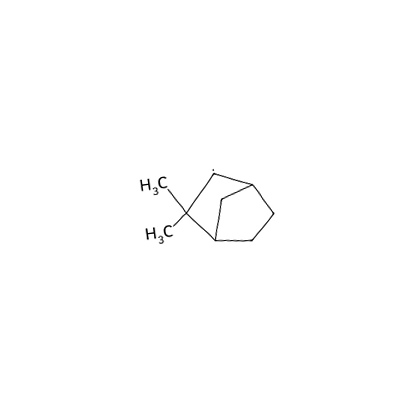 CC1(C)[CH]C2CCC1C2